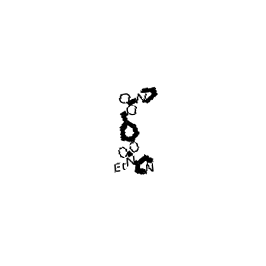 CCN(C(=O)OC1CCC(COC(=O)N2CCCC2)CC1)c1ccncc1